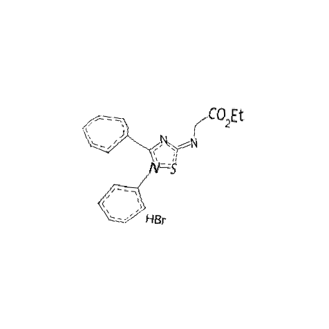 Br.CCOC(=O)C/N=c1\nc(-c2ccccc2)n(-c2ccccc2)s1